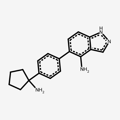 Nc1c(-c2ccc(C3(N)CCCC3)cc2)ccc2[nH]ncc12